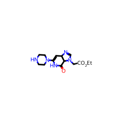 CCOC(=O)CN1C=NC2C=C(N3CCNCC3)NC(=O)C21